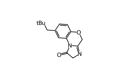 CC(C)(C)Cc1ccc2c(c1)N1C(=O)CN=C1CO2